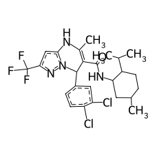 CC1=C(C(=O)NC2CC(C)CCC2C(C)C)C(c2ccc(Cl)c(Cl)c2)n2nc(C(F)(F)F)cc2N1